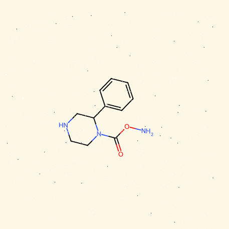 NOC(=O)N1CCNCC1c1ccccc1